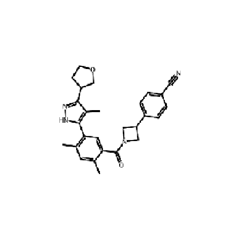 Cc1cc(C)c(-c2[nH]nc(C3CCOC3)c2C)cc1C(=O)N1CC(c2ccc(C#N)cc2)C1